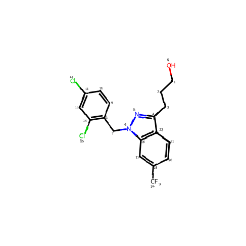 OCCCc1nn(Cc2ccc(Cl)cc2Cl)c2cc(C(F)(F)F)ccc12